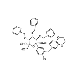 CO[C@@]1(c2ccc(Br)c(Cc3ccc4c(c3)OCCO4)c2)O[C@](C=O)(CO)[C@H](OCc2ccccc2)[C@H](OCc2ccccc2)[C@H]1OCc1ccccc1